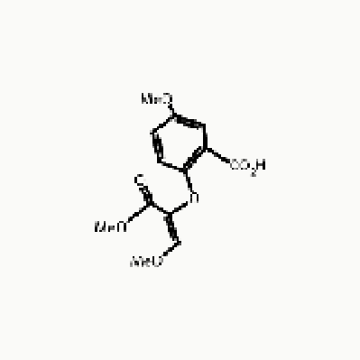 COC=C(Oc1ccc(OC)cc1C(=O)O)C(=O)OC